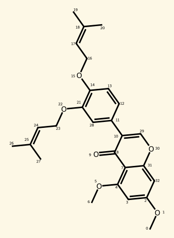 COc1cc(OC)c2c(=O)c(-c3ccc(OCC=C(C)C)c(OCC=C(C)C)c3)coc2c1